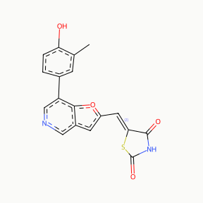 Cc1cc(-c2cncc3cc(/C=C4\SC(=O)NC4=O)oc23)ccc1O